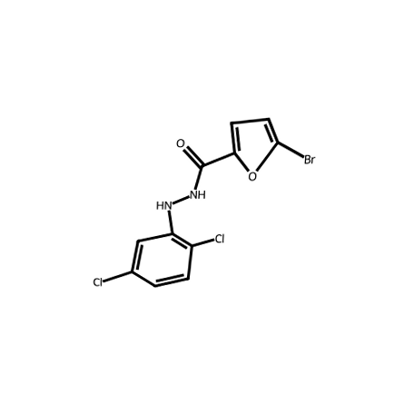 O=C(NNc1cc(Cl)ccc1Cl)c1ccc(Br)o1